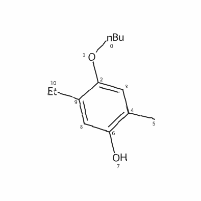 CCCCOc1cc(C)c(O)cc1CC